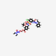 CCN(CC)[N+]([O-])=NOCOC(=O)c1ccc(CN(C(=O)OC(C)(C)C)S(=O)(=O)c2cc(C(=O)NN3c4ccccc4CC3C)ccc2Cl)cc1